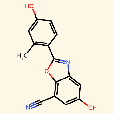 Cc1cc(O)ccc1-c1nc2cc(O)cc(C#N)c2o1